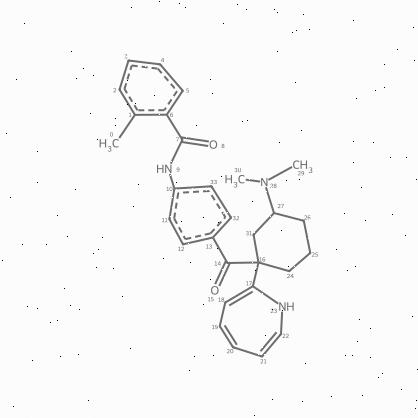 Cc1ccccc1C(=O)Nc1ccc(C(=O)C2(C3=CC=CC=CN3)CCCC(N(C)C)C2)cc1